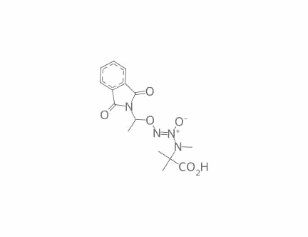 CC(ON=[N+]([O-])N(C)C(C)(C)C(=O)O)N1C(=O)c2ccccc2C1=O